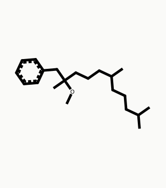 COC(C)(CCCC(C)CCCC(C)C)Cc1ccccc1